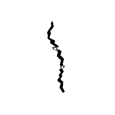 CCCCCCCCOCCCCOCCCCCCCC